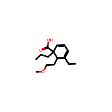 CCCC1(C(=O)O)C=CC=C(CC)C1CCOC